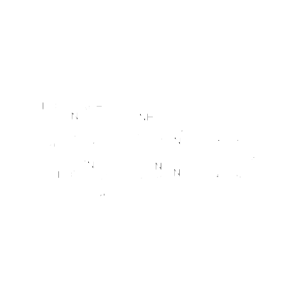 CN(C)C(=O)CN(C)C(=O)c1cc(N)c2nc(-c3ccccc3)nn2c1